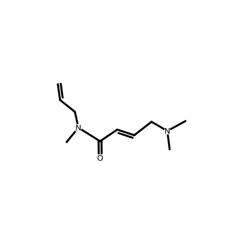 C=CCN(C)C(=O)/C=C/CN(C)C